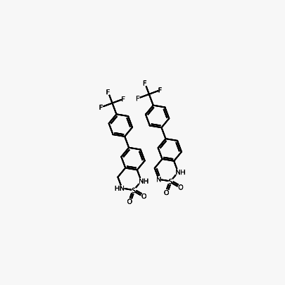 O=S1(=O)N=Cc2cc(-c3ccc(C(F)(F)F)cc3)ccc2N1.O=S1(=O)NCc2cc(-c3ccc(C(F)(F)F)cc3)ccc2N1